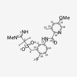 CNC(=N)C(C)(C)S(=O)(=O)Cc1cc(NC(=O)c2ncc(OC)cc2C)ccc1F